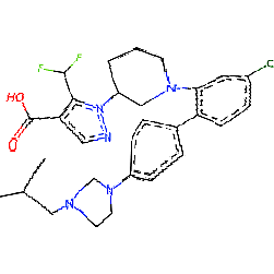 CC(C)CN1CCN(c2ccc(-c3ccc(Cl)cc3N3CCCC(n4ncc(C(=O)O)c4C(F)F)C3)cc2)C1